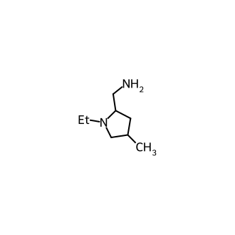 CCN1CC(C)CC1CN